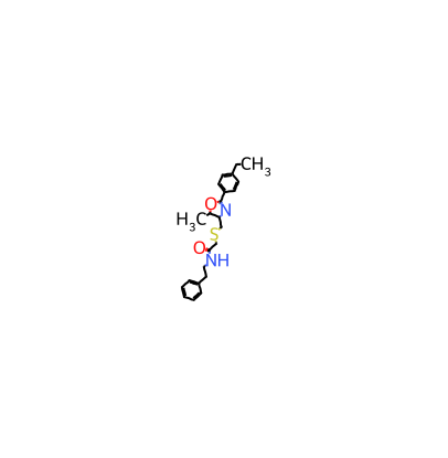 CCc1ccc(C2=NC(CSCC(=O)NCCc3ccccc3)C(C)O2)cc1